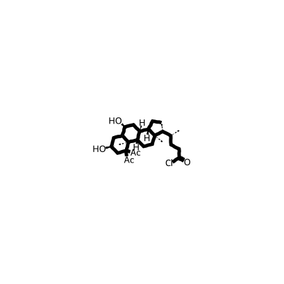 CC(=O)C1(C(C)=O)C[C@@H](O)CC2[C@@H](O)C[C@H]3[C@@H]4CC[C@H]([C@H](C)CCC(=O)Cl)[C@@]4(C)CC[C@@H]3[C@]21C